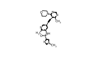 Cc1ncc(C#Cc2c(C)ncnc2N2CCOCC2)cc1N[S+]([O-])c1cn(C)cn1